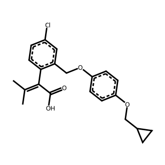 CC(C)=C(C(=O)O)c1ccc(Cl)cc1COc1ccc(OCC2CC2)cc1